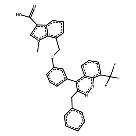 Cn1cc(C(=O)O)c2cccc(COc3cccc(-c4c(Cc5ccccc5)nnc5c(C(F)(F)F)cccc45)c3)c21